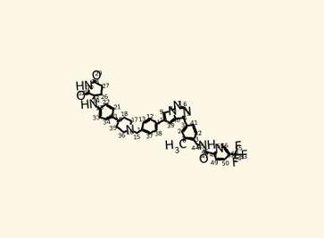 Cc1cc(-c2ncnn3cc(-c4ccc(CN5CCC(c6ccc(NC7CCC(=O)NC7=O)cc6)CC5)cc4)cc23)ccc1CNC(=O)c1ccc(C(F)(F)F)cn1